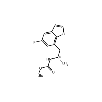 C[C@@H](Cc1cc(F)cc2ccoc12)NC(=O)OC(C)(C)C